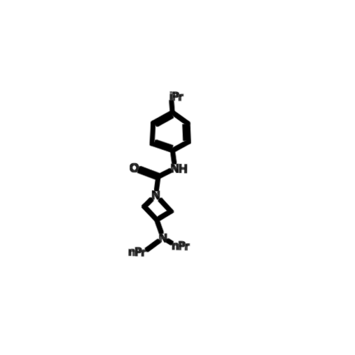 CCCN(CCC)C1CN(C(=O)Nc2ccc(C(C)C)cc2)C1